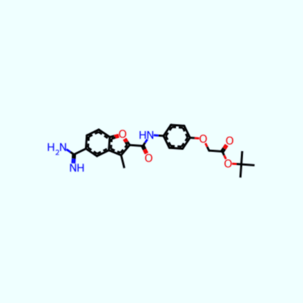 Cc1c(C(=O)Nc2ccc(OCC(=O)OC(C)(C)C)cc2)oc2ccc(C(=N)N)cc12